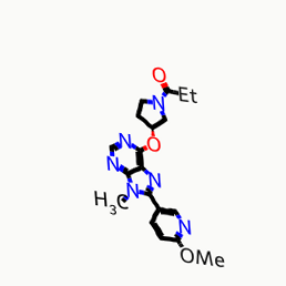 CCC(=O)N1CC[C@H](Oc2ncnc3c2nc(-c2ccc(OC)nc2)n3C)C1